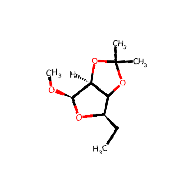 CC[C@H]1O[C@@H](OC)[C@H]2OC(C)(C)OC12